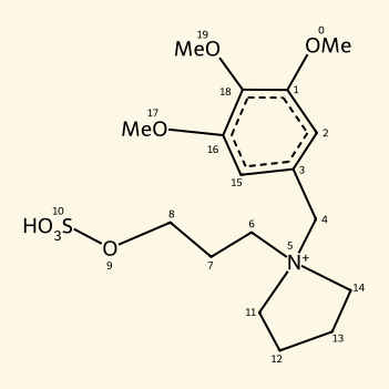 COc1cc(C[N+]2(CCCOS(=O)(=O)O)CCCC2)cc(OC)c1OC